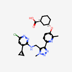 Cc1nc(-c2nnn(C)c2CNc2nnc(Cl)cc2C2=CC2)ccc1O[C@H]1CCC[C@H](C(=O)O)C1